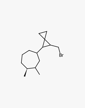 CC1CC(C2C(CBr)C23CC3)CCC[C@@H]1C